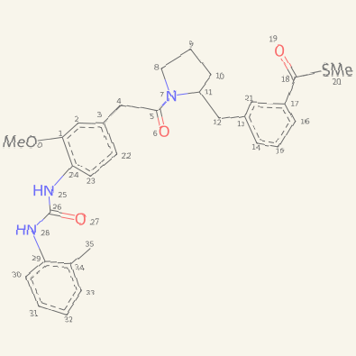 COc1cc(CC(=O)N2CCCC2Cc2cccc(C(=O)SC)c2)ccc1NC(=O)Nc1ccccc1C